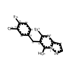 CCc1nc2ccnn2c(O)c1Cc1ccc(F)c(Cl)c1